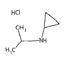 CC(C)NC1CC1.Cl